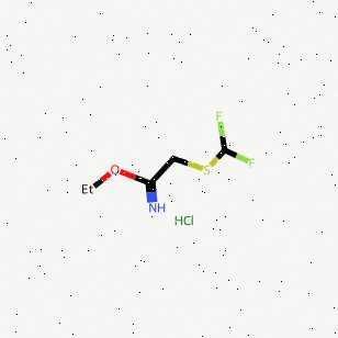 CCOC(=N)CSC(F)F.Cl